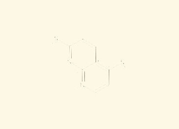 Nc1ccc2c(N)ccnc2n1